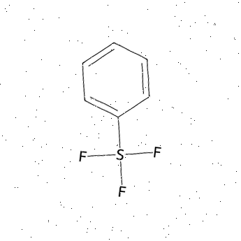 FS(F)(F)c1ccccc1